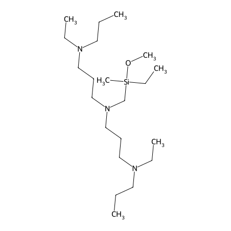 CCCN(CC)CCCN(CCCN(CC)CCC)C[Si](C)(CC)OC